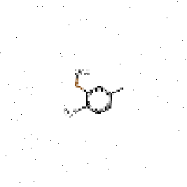 CC(=O)OSc1cc(C)ccc1[N+](=O)[O-]